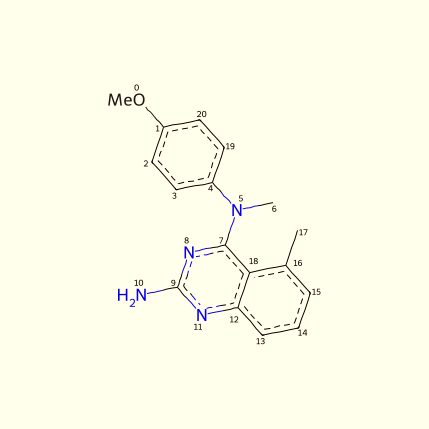 COc1ccc(N(C)c2nc(N)nc3cccc(C)c23)cc1